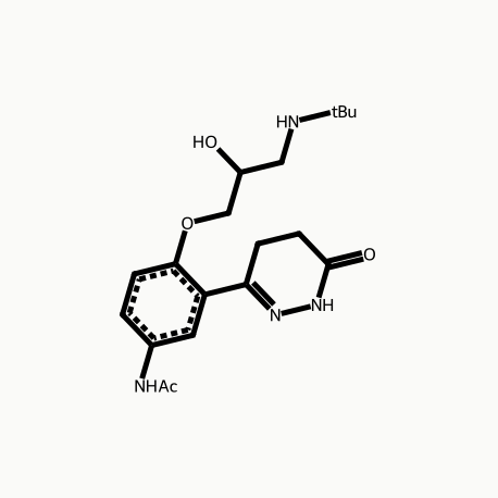 CC(=O)Nc1ccc(OCC(O)CNC(C)(C)C)c(C2=NNC(=O)CC2)c1